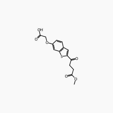 COC(=O)CCC(=O)c1cc2ccc(OCC(=O)O)cc2s1